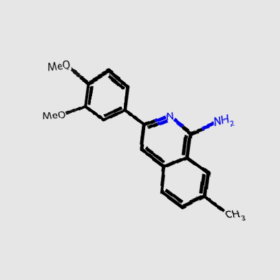 COc1ccc(-c2cc3ccc(C)cc3c(N)n2)cc1OC